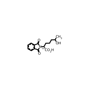 CC(O)CCC[C@@H](C(=O)O)N1C(=O)c2ccccc2C1=O